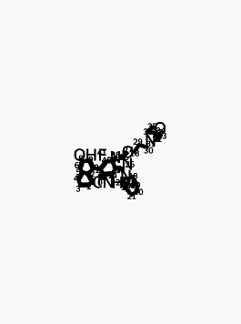 N#Cc1cccc2cc(O)cc(-c3c(F)cc4c(N5CC6CCC(C5)N6)nc(OCCCN5C6COCC5C6)nc4c3F)c12